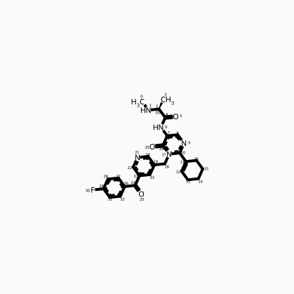 CN[C@@H](C)C(=O)Nc1cnc(C2=CCCCC2)n(Cc2cncc(C(=O)c3ccc(F)cc3)c2)c1=O